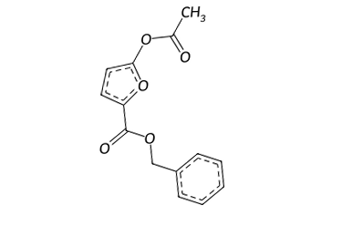 CC(=O)Oc1ccc(C(=O)OCc2ccccc2)o1